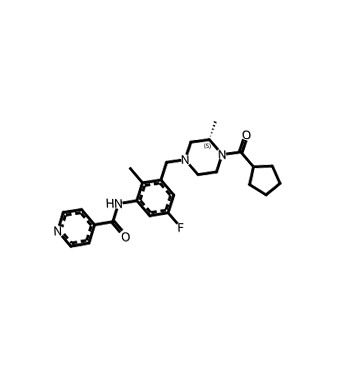 Cc1c(CN2CCN(C(=O)C3CCCC3)[C@@H](C)C2)cc(F)cc1NC(=O)c1ccncc1